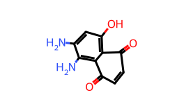 Nc1cc(O)c2c(c1N)C(=O)C=CC2=O